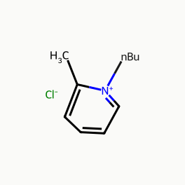 CCCC[n+]1ccccc1C.[Cl-]